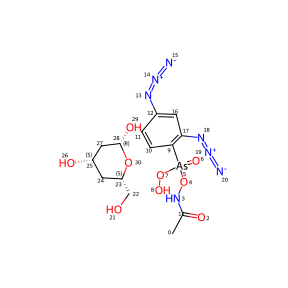 CC(=O)NO[As](=O)(OO)c1ccc(N=[N+]=[N-])cc1N=[N+]=[N-].OC[C@@H]1C[C@H](O)C[C@H](O)O1